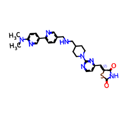 CN(C)c1ccc(-c2ccc(CNCC3CCN(c4nccc(/C=C5\SC(=O)NC5=O)n4)CC3)cn2)cn1